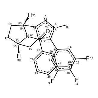 Cn1nc2c(c1-c1cc(F)c(F)c(F)c1)C[C@@H]1CC[C@H]2N1C(=O)c1cccc(Cl)c1